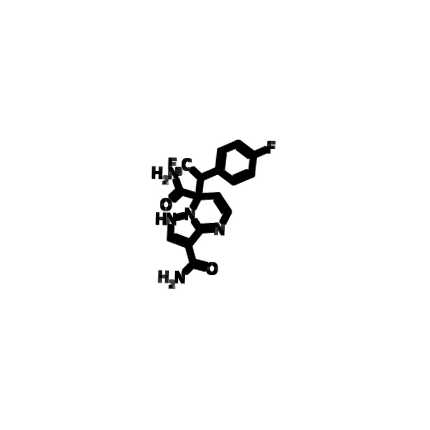 NC(=O)C1=CNN2C1=NC=CC2(C(N)=O)C(c1ccc(F)cc1)C(F)(F)F